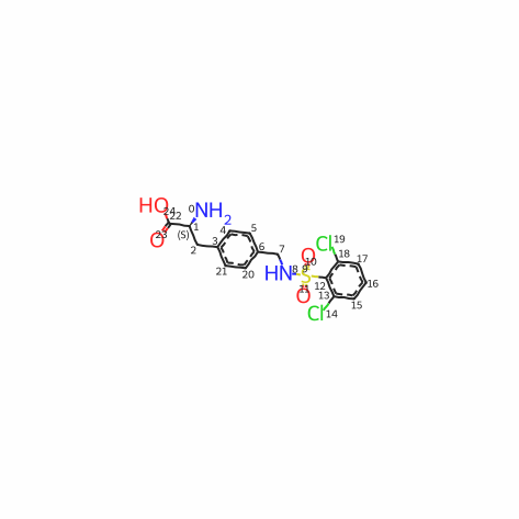 N[C@@H](Cc1ccc(CNS(=O)(=O)c2c(Cl)cccc2Cl)cc1)C(=O)O